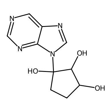 OC1CCC(O)(n2cnc3cncnc32)C1O